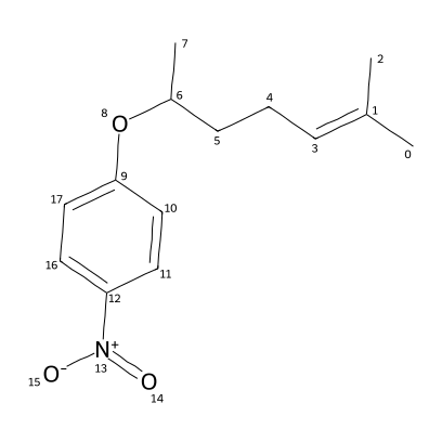 CC(C)=CCCC(C)Oc1ccc([N+](=O)[O-])cc1